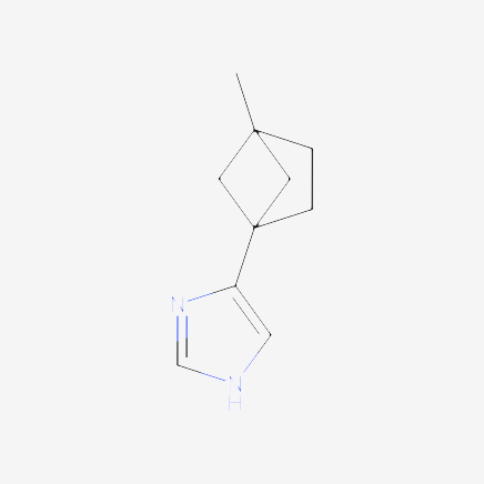 CC12CCC(c3c[nH]cn3)(C1)C2